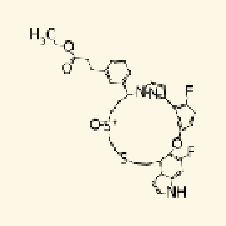 CCOC(=O)CCc1cccc(C2CC[S+]([O-])CCSCCc3c(c(F)cc4[nH]ccc34)Oc3ccc(F)c(c3)-c3ccn2n3)c1